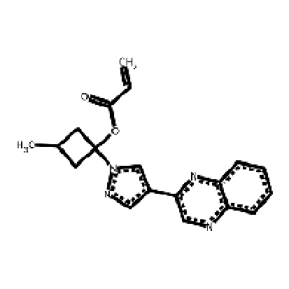 C=CC(=O)OC1(n2cc(-c3cnc4ccccc4n3)cn2)CC(C)C1